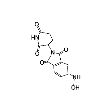 O=C1CCC(N2C(=O)c3ccc(NO)cc3C2=O)C(=O)N1